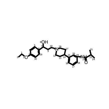 CCOc1ccc(C(O)CCN2CCC(c3cccc(NC(=O)C(C)C)c3)CC2)cc1